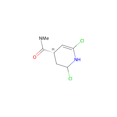 CNC(=O)[C@@H]1C=C(Cl)NC(Cl)C1